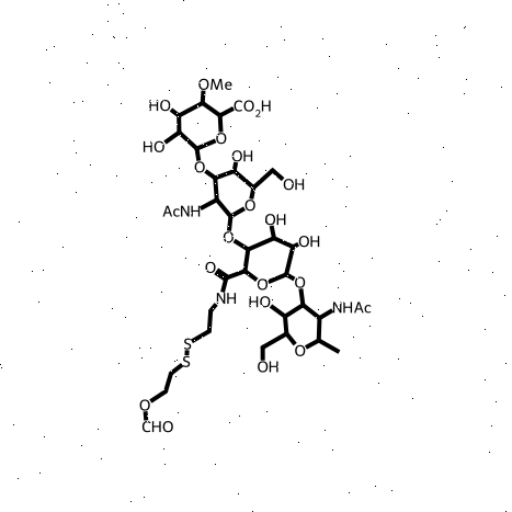 COC1C(C(=O)O)OC(OC2C(O)C(CO)OC(OC3C(C(=O)NCCSSCCOC=O)OC(OC4C(O)C(CO)OC(C)C4NC(C)=O)C(O)C3O)C2NC(C)=O)C(O)C1O